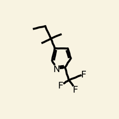 CCC(C)(C)c1ccc(C(F)(F)F)nc1